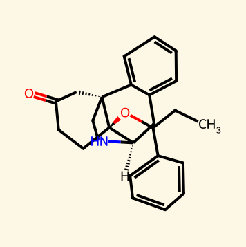 CCC(O[C@@]12CCC(=O)C[C@@]13CCN[C@@H]2Cc1ccccc13)c1ccccc1